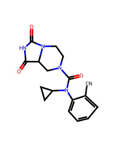 N#Cc1ccccc1N(C(=O)N1CCN2C(=O)NC(=O)C2C1)C1CC1